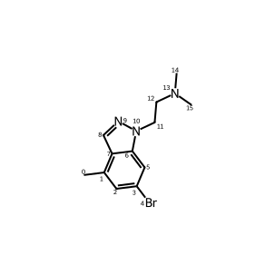 Cc1cc(Br)cc2c1cnn2CCN(C)C